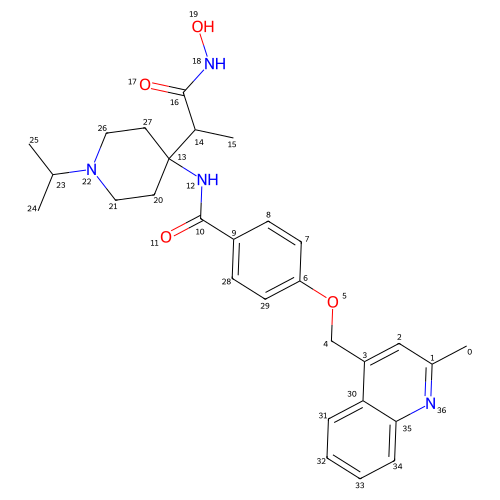 Cc1cc(COc2ccc(C(=O)NC3(C(C)C(=O)NO)CCN(C(C)C)CC3)cc2)c2ccccc2n1